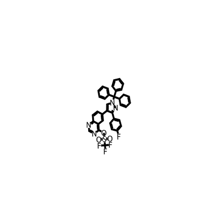 O=S(=O)(Oc1ncnc2ccc(-c3cn(C(c4ccccc4)(c4ccccc4)C4C=CC=CC4)nc3-c3ccc(F)cc3)cc12)C(F)(F)F